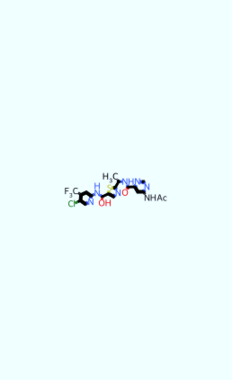 CC(=O)Nc1cc(C(=O)NC(C)c2ncc(C(O)Nc3cc(C(F)(F)F)c(Cl)cn3)s2)ncn1